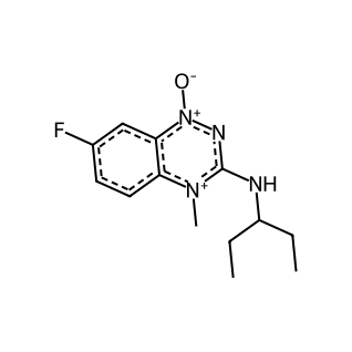 CCC(CC)Nc1n[n+]([O-])c2cc(F)ccc2[n+]1C